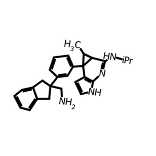 CC(C)NC1=Nc2[nH]ccc2C2(c3cccc(C4(CN)Cc5ccccc5C4)c3)C(C)C12